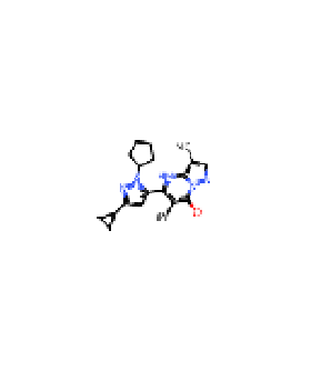 CC(C)c1c(-c2cc(C3CC3)nn2C2CCCC2)[nH]c2c(C#N)cnn2c1=O